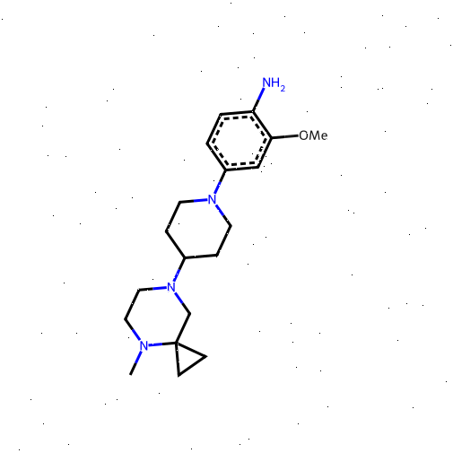 COc1cc(N2CCC(N3CCN(C)C4(CC4)C3)CC2)ccc1N